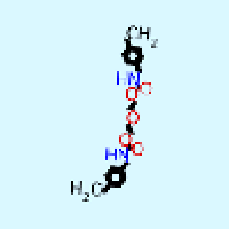 C=Cc1ccc(CNC(=O)OCCOCCOC(=O)NCc2ccc(C=C)cc2)cc1